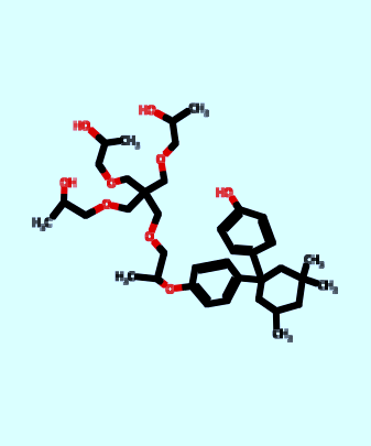 CC(O)COCC(COCC(C)O)(COCC(C)O)COCC(C)Oc1ccc(C2(c3ccc(O)cc3)CC(C)CC(C)(C)C2)cc1